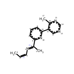 C/C=C\N=C(/C)c1cccc(-c2cncnc2C)n1